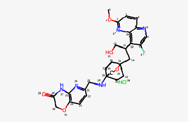 COc1ccc2ncc(F)c(C(CO)CC34CCC(NCc5ccc6c(n5)NC(=O)CO6)(CC3)CO4)c2n1.Cl